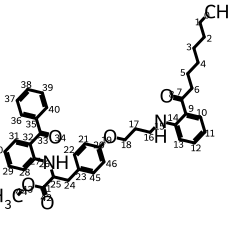 CCCCCCCC(=O)c1ccccc1NCCCOc1ccc(CC(Nc2ccccc2C(=O)c2ccccc2)C(=O)OC)cc1